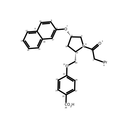 CC(C)CC(=O)N1C[C@@H](Oc2ccc3ccccc3c2)C[C@H]1COc1ccc(C(=O)O)cc1